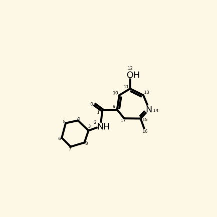 C=C(NC1CCCCC1)C1=CC(O)=CN=C(C)C1